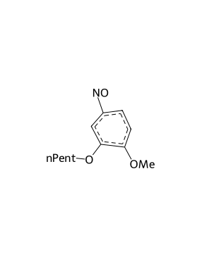 CCCCCOc1cc(N=O)ccc1OC